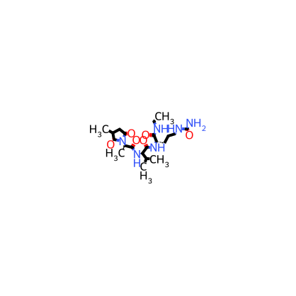 CCNC(=O)[C@H](CCCNC(N)=O)NC(=O)[C@@H](NC(=O)[C@H](C)N1C(=O)CC(C)C1=O)C(C)C